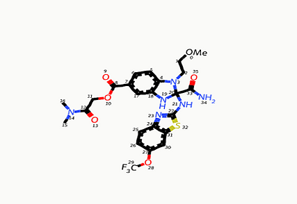 COCCN1c2ccc(C(=O)OCC(=O)N(C)C)cc2NC1(Nc1nc2ccc(OC(F)(F)F)cc2s1)C(N)=O